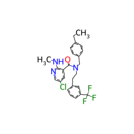 CCc1ccc(CN(CCc2cccc(C(F)(F)F)c2)C(=O)c2cc(Cl)cnc2NC)cc1